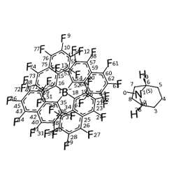 CN1[C@@H]2CCC[C@H]1CC2.Fc1c(F)c(F)c2c([B-](c3c(F)c(F)c(F)c4c(F)c(F)c(F)c(F)c34)(c3c(F)c(F)c(F)c4c(F)c(F)c(F)c(F)c34)c3c(F)c(F)c(F)c4c(F)c(F)c(F)c(F)c34)c(F)c(F)c(F)c2c1F